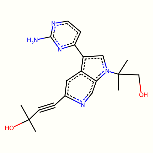 CC(C)(O)C#Cc1cc2c(-c3ccnc(N)n3)cn(C(C)(C)CO)c2cn1